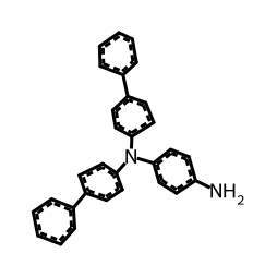 Nc1ccc(N(c2ccc(-c3ccccc3)cc2)c2ccc(-c3ccccc3)cc2)cc1